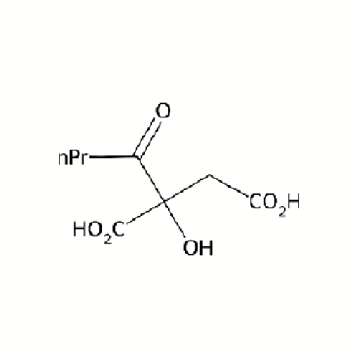 CCCC(=O)C(O)(CC(=O)O)C(=O)O